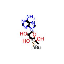 CCCCSC(C)(O)[C@H]1O[C@@H](n2cnc3c(N)ncnc32)[C@H](O)[C@@H]1O